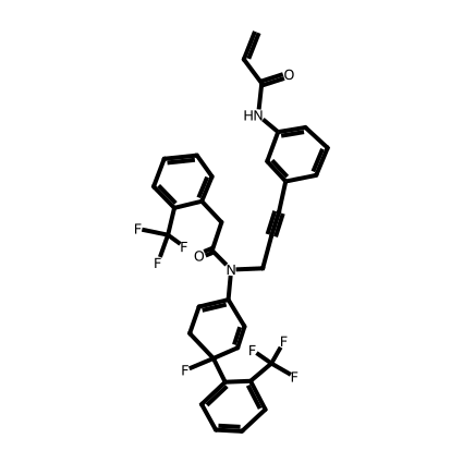 C=CC(=O)Nc1cccc(C#CCN(C(=O)Cc2ccccc2C(F)(F)F)C2=CCC(F)(c3ccccc3C(F)(F)F)C=C2)c1